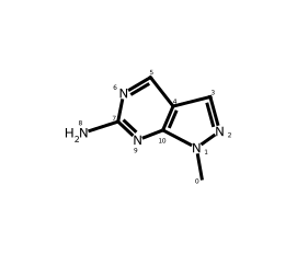 Cn1ncc2cnc(N)nc21